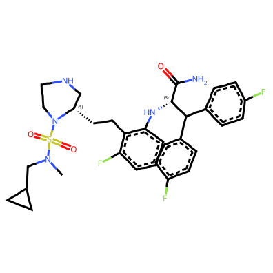 CN(CC1CC1)S(=O)(=O)N1CCNC[C@@H]1CCc1c(F)cccc1N[C@H](C(N)=O)C(c1ccc(F)cc1)c1ccc(F)cc1